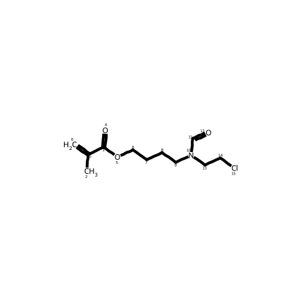 C=C(C)C(=O)OCCCCN(C=O)CCCl